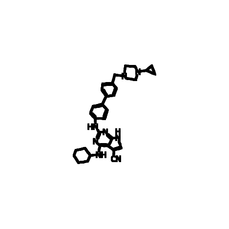 N#Cc1c[nH]c2nc(Nc3ccc(-c4ccc(CN5CCN(C6CC6)CC5)cc4)cc3)nc(NC3CCCCC3)c12